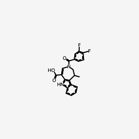 CC1CN(C(=O)c2ccc(F)c(F)c2)C=C(C(=O)O)c2[nH]c3ccccc3c21